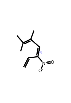 C=C/C(=C\C(C)=C(C)C)[N+](=O)[O-]